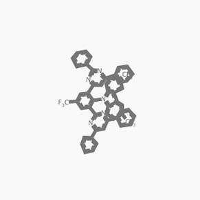 FC(F)(F)c1cc(-c2cc(-c3ccccc3)nc(-c3ccccc3)n2)c(-n2c3ccc(C(F)(F)F)cc3c3cc(C(F)(F)F)ccc32)c(-c2nc(-c3ccccc3)cc(-c3ccccc3)n2)c1